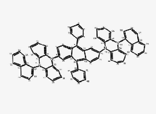 c1ccc(-c2c3ccc(N4c5ccccc5N(c5cccc6ccccc56)c5ccccc54)cc3c(-c3ccccc3)c3ccc(N4c5ccccc5N(c5cccc6ccccc56)c5ccccc54)cc23)cc1